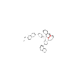 C=C/C=C\c1ccc2cc(-c3ccc(N(c4cc(-c5cccc6ccccc56)ccc4-c4ccccc4)c4cccc5ccccc45)cc3)ccc2c1C